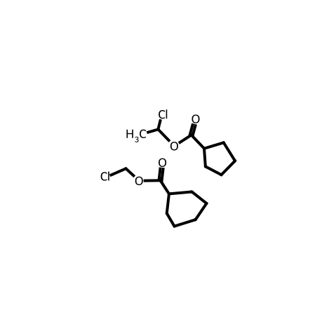 CC(Cl)OC(=O)C1CCCC1.O=C(OCCl)C1CCCCC1